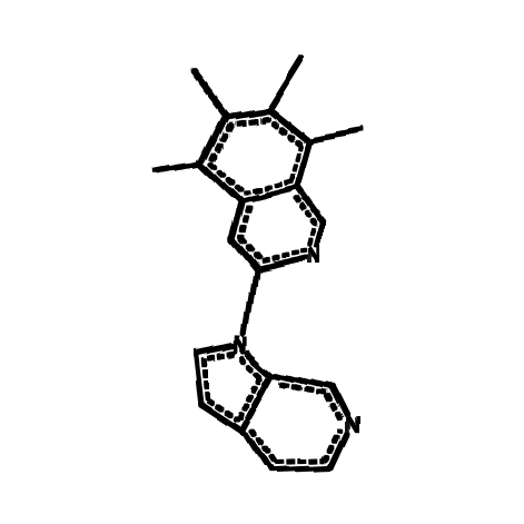 Cc1c(C)c(C)c2cc(-n3ccc4ccncc43)ncc2c1C